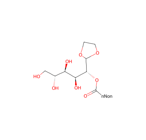 CCCCCCCCCC(=O)O[C@@H](C1OCCO1)[C@@H](O)[C@H](O)[C@H](O)CO